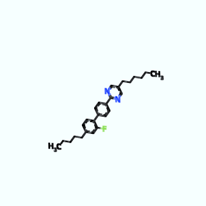 CCCCCCc1cnc(-c2ccc(-c3ccc(CCCCC)cc3F)cc2)nc1